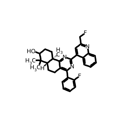 CC1(C)C(O)CC[C@@]2(C)c3nc(-c4cc(CF)nc5ccccc45)nc(-c4ccccc4F)c3CC[C@H]12